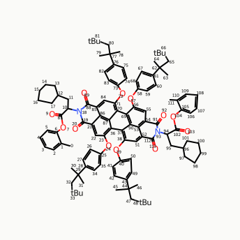 Cc1ccccc1OC(=O)C(CC1CCCCC1)N1C(=O)c2cc(Oc3ccc(C(C)(C)CC(C)(C)C)cc3)c3c4c(Oc5ccc(C(C)(C)CC(C)(C)C)cc5)cc5c6c(cc(Oc7ccc(C(C)(C)CC(C)(C)C)cc7)c(c7c(Oc8ccc(C(C)(C)CC(C)(C)C)cc8)cc(c2c37)C1=O)c64)C(=O)N(C(CC1CCCCC1)C(=O)Oc1ccccc1C)C5=O